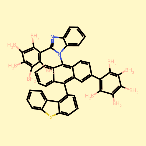 Bc1c(B)c(B)c(-c2ccc3c(-n4c(-c5c(B)c(B)c(B)c(B)c5B)nc5ccccc54)c4ccccc4c(-c4cccc5sc6ccccc6c45)c3c2)c(B)c1B